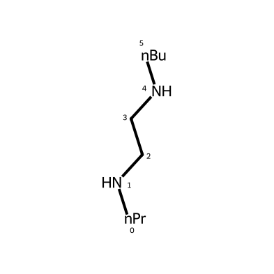 [CH2]CCNCCNCCCC